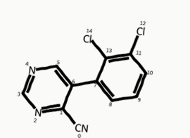 N#Cc1ncncc1-c1cccc(Cl)c1Cl